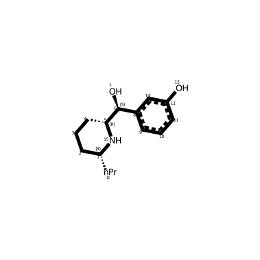 CCC[C@@H]1CCC[C@H]([C@@H](O)c2cccc(O)c2)N1